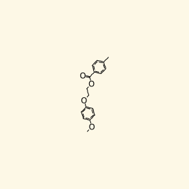 COc1ccc(OCCOC(=O)c2ccc(C)cc2)cc1